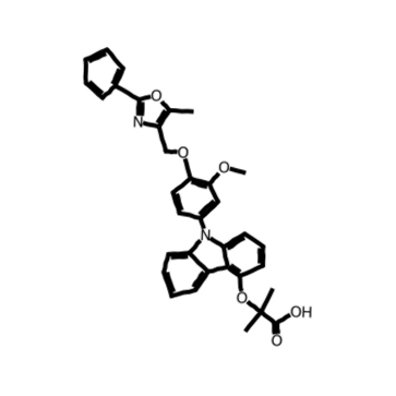 COc1cc(-n2c3ccccc3c3c(OC(C)(C)C(=O)O)cccc32)ccc1OCc1nc(-c2ccccc2)oc1C